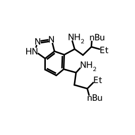 CCCCC(CC)CC(N)c1ccc2[nH]nnc2c1C(N)CC(CC)CCCC